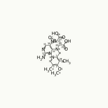 COc1c(C)cnc(CN(c2nc(N)ncc2[N+](=O)[O-])[C@H](CC(=O)O)C(=O)O)c1C